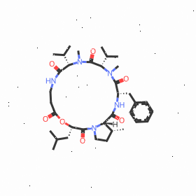 CC(C)C[C@@H]1OC(=O)CCNC(=O)[C@H](C(C)C)N(C)C(=O)[C@H](C(C)C)N(C)C(=O)[C@H](Cc2ccccc2)NC(=O)[C@@H]2[C@H](C)CCN2C1=O